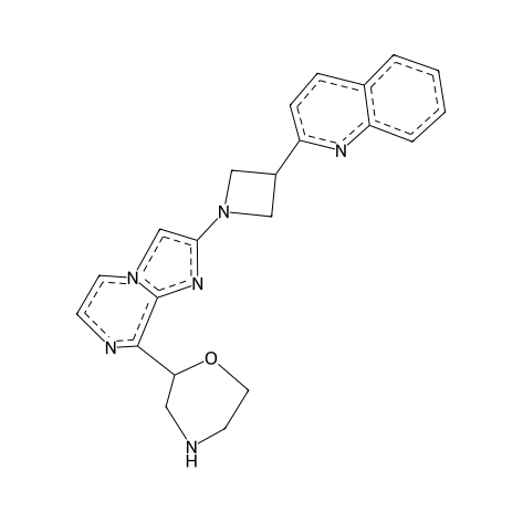 c1ccc2nc(C3CN(c4cn5ccnc(C6CNCCO6)c5n4)C3)ccc2c1